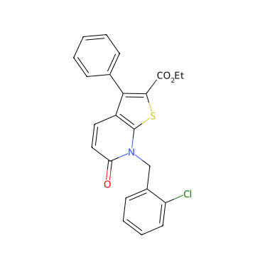 CCOC(=O)c1sc2c(ccc(=O)n2Cc2ccccc2Cl)c1-c1ccccc1